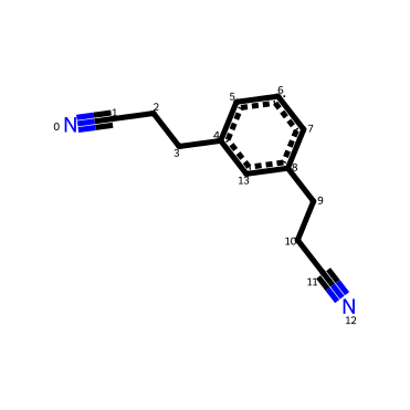 N#CCCc1c[c]cc(CCC#N)c1